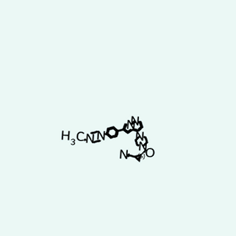 CCN1CCN(c2ccc(-c3cc4c(N5CCN(C(=O)[C@H]6CC6C#N)CC5)ccnn4c3)cc2)CC1